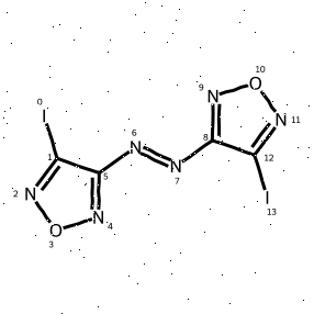 Ic1nonc1N=Nc1nonc1I